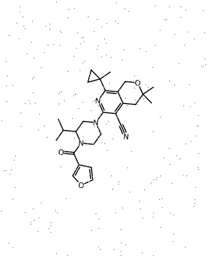 CC(C)C1CN(c2nc(C3(C)CC3)c3c(c2C#N)CC(C)(C)OC3)CCN1C(=O)c1ccoc1